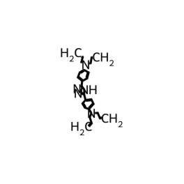 C=CCN(CC=C)c1ccc(-c2nnc(-c3ccc(N(CC=C)CC=C)cc3)[nH]2)cc1